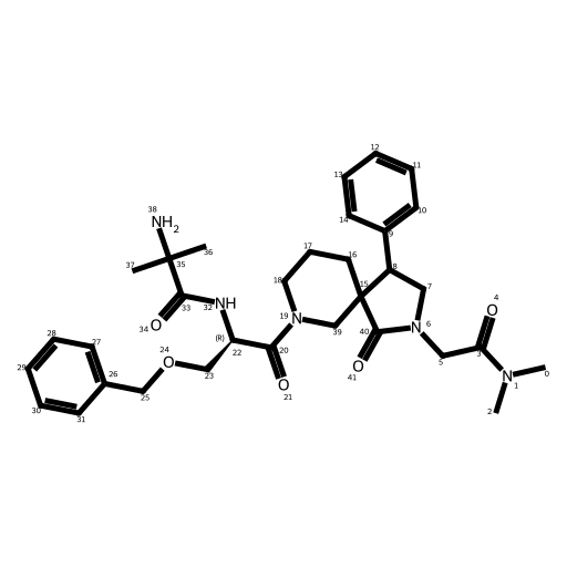 CN(C)C(=O)CN1CC(c2ccccc2)C2(CCCN(C(=O)[C@@H](COCc3ccccc3)NC(=O)C(C)(C)N)C2)C1=O